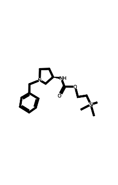 C[Si](C)(C)CCOC(=O)N[C@@H]1CCN(Cc2ccccc2)C1